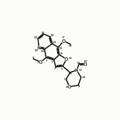 COc1c2cc(C3COCCN3C=O)oc2c(OC)c2cccnc12